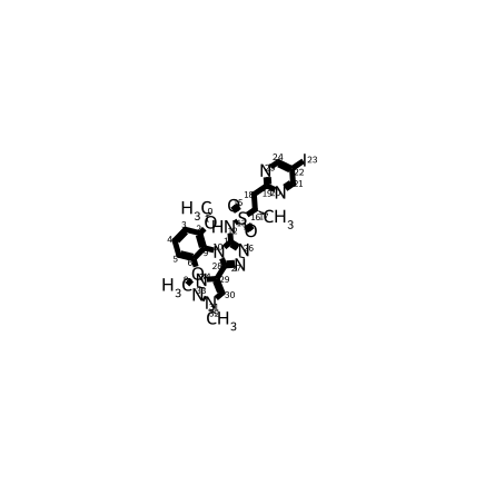 COc1cccc(OC)c1-n1c(NS(=O)(=O)[C@@H](C)Cc2ncc(I)cn2)nnc1-c1cn(C)nn1